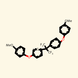 COc1ccc(Oc2ccc(C(c3ccc(Oc4ccc(OC)cc4)cc3)(C(F)(F)F)C(F)(F)F)cc2)cc1